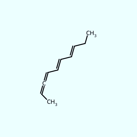 CC=C=CC=CC=CCC